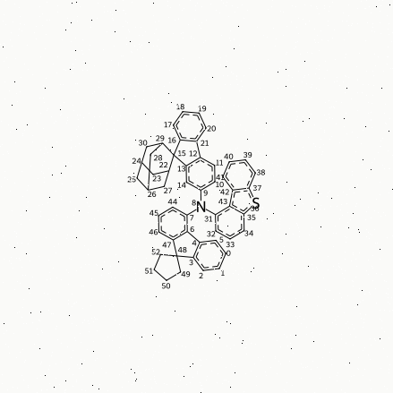 c1ccc2c(c1)-c1c(N(c3ccc4c(c3)C3(c5ccccc5-4)C4CC5CC(C4)CC3C5)c3cccc4sc5ccccc5c34)cccc1C21CCCC1